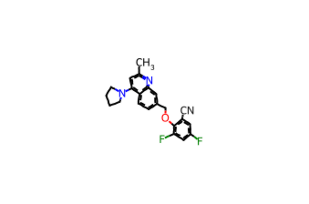 Cc1cc(N2CCCC2)c2ccc(COc3c(F)cc(F)cc3C#N)cc2n1